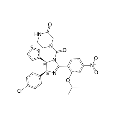 CC(C)Oc1cc([N+](=O)[O-])ccc1C1=N[C@@H](c2ccc(Cl)cc2)[C@@H](c2ccsc2)N1C(=O)N1CCNC(=O)C1